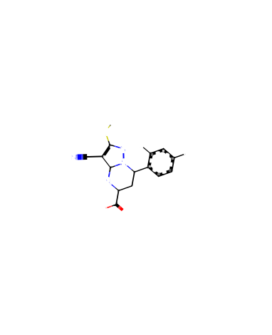 CSC1=C(C#N)C2NC(C(=O)O)CC(c3ccc(C)cc3C)N2N1